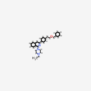 CCN1CCN(c2nc(-c3ccc(CCOCc4ccccc4)cc3)cc3ccccc23)CC1